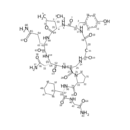 CC[C@H](C)[C@@H]1NC(=O)[C@H](Cc2ccc(O)cc2)NC(=O)CCC(=O)NC[C@@H](C(=O)N2CCCC2C(=O)N[C@H](C(=O)NCC(N)=O)C2CCCCC2)NC(=O)[C@H](CC(N)=O)NC(=O)[C@H](CCC(N)=O)NC1=O